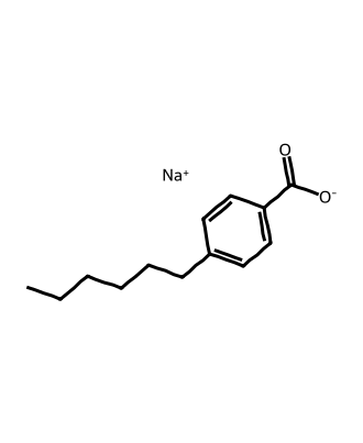 CCCCCCc1ccc(C(=O)[O-])cc1.[Na+]